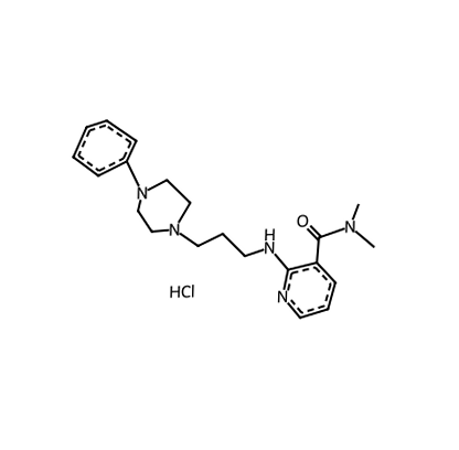 CN(C)C(=O)c1cccnc1NCCCN1CCN(c2ccccc2)CC1.Cl